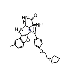 Cc1ccc2oc(/C(Nc3ccc(OCCN4CCCC4)cc3)=C3/C(=N)C(=O)NN=C3N)c(C)c2c1